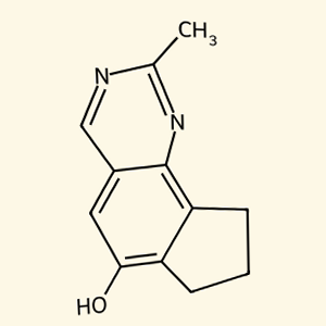 Cc1ncc2cc(O)c3c(c2n1)CCC3